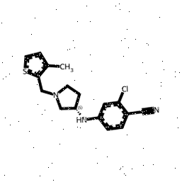 Cc1ccsc1CN1CC[C@H](Nc2ccc(C#N)c(Cl)c2)C1